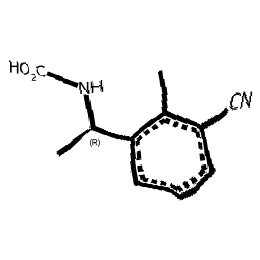 Cc1c(C#N)cccc1[C@@H](C)NC(=O)O